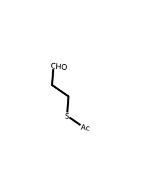 CC(=O)SCCC=O